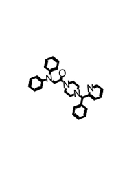 O=C(CN(c1ccccc1)c1ccccc1)N1CCN(C(c2ccccc2)c2ccccn2)CC1